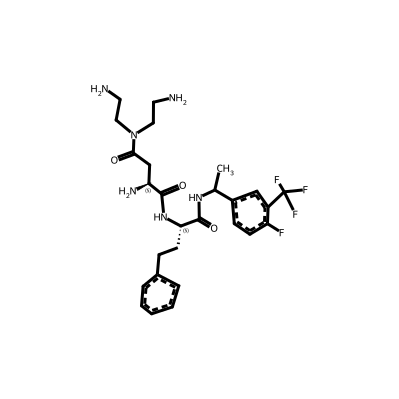 CC(NC(=O)[C@H](CCc1ccccc1)NC(=O)[C@@H](N)CC(=O)N(CCN)CCN)c1ccc(F)c(C(F)(F)F)c1